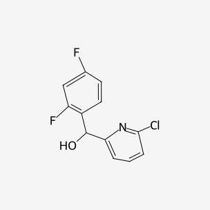 OC(c1cccc(Cl)n1)c1ccc(F)cc1F